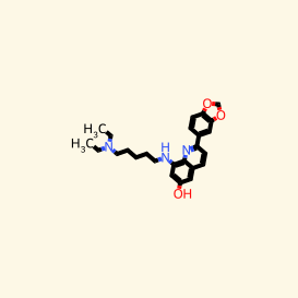 CCN(CC)CCCCCNc1cc(O)cc2ccc(-c3ccc4c(c3)OCO4)nc12